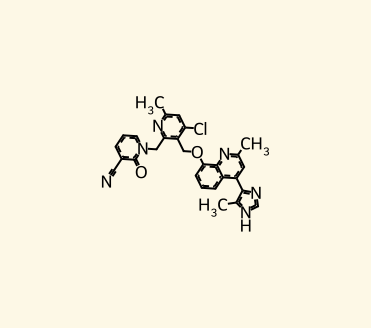 Cc1cc(Cl)c(COc2cccc3c(-c4nc[nH]c4C)cc(C)nc23)c(Cn2cccc(C#N)c2=O)n1